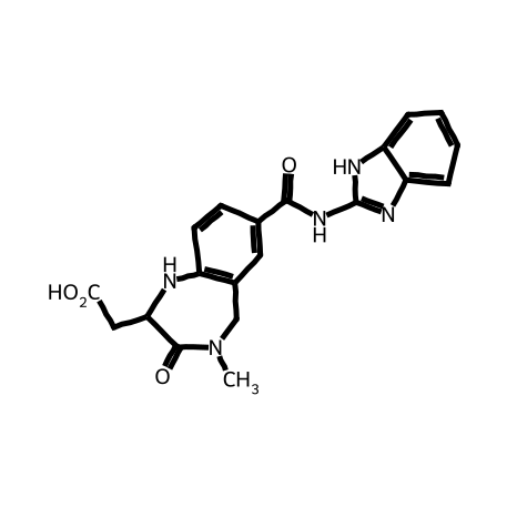 CN1Cc2cc(C(=O)Nc3nc4ccccc4[nH]3)ccc2NC(CC(=O)O)C1=O